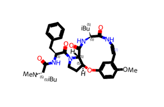 CC[C@H](C)[C@H](NC)C(=O)N[C@@H](Cc1ccccc1)C(=O)N1CC[C@@H]2Oc3ccc(OC)c(c3)/C=C\NC(=O)[C@H]([C@@H](C)CC)NC(=O)[C@H]21